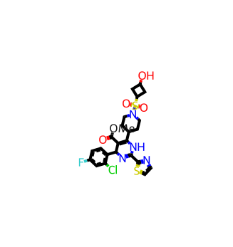 COC(=O)C1=C(C2CCN(S(=O)(=O)C3CC(O)C3)CC2)NC(c2nccs2)=NC1c1ccc(F)cc1Cl